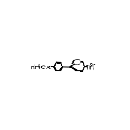 CCCCCCc1ccc(C2CCC(CCC)CO2)cc1